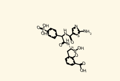 Nc1ncc(C(=O)NC(C(=O)N[C@H]2Cc3cccc(C(=O)O)c3OB2O)c2ccc(P(=O)(O)O)cc2)s1